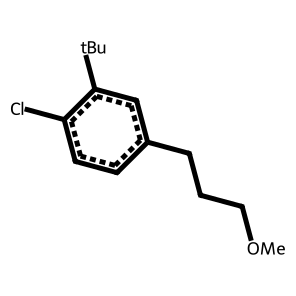 COCCCc1ccc(Cl)c(C(C)(C)C)c1